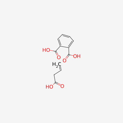 C=CCC(=O)O.O=C(O)c1ccccc1C(=O)O